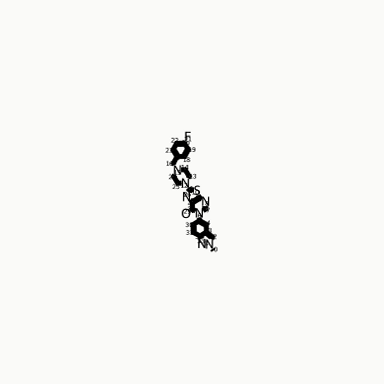 Cn1cc2cc(-n3cnc4sc(N5CCN(Cc6ccc(F)cc6)CC5)nc4c3=O)ccc2n1